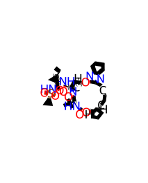 C=C[C@@H]1C[C@]1(NC(=O)[C@@H]1C[C@@H]2CN1C(=O)[C@H](C(C)(C)C)NC(=O)O[C@@H]1CCC[C@H]1CCCCCc1nc3ccccc3nc1O2)C(=O)NS(=O)(=O)C1CC1